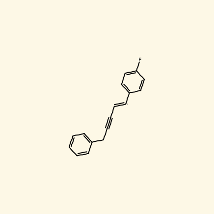 Fc1ccc(/[C]=C/C#CCc2ccccc2)cc1